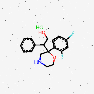 Cl.OCC(c1ccccc1)C1(c2ccc(F)cc2F)CNCCO1